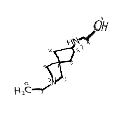 CCN1CC2(CC(NCO)C2)C1